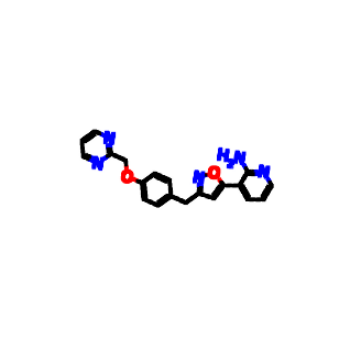 Nc1ncccc1-c1cc(Cc2ccc(OCc3ncccn3)cc2)no1